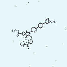 COC(=O)N1CC2(C1)N=C(c1ccc(-c3ccc(-c4cnn(C)c4)cc3)cc1)N(CC1CCN(C(=O)c3nccs3)C1)C2=O